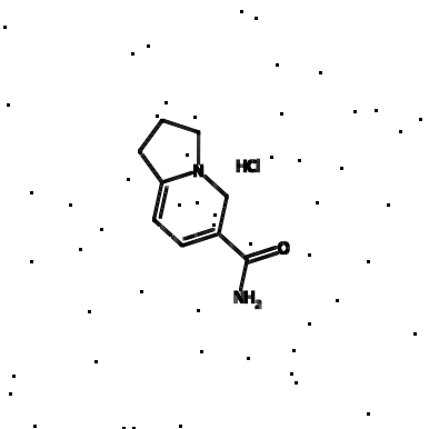 Cl.NC(=O)C1=CC=C2CCCN2C1